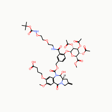 C=C1C[C@H]2C(O)N(C(=O)OCc3ccc(O[C@@H]4O[C@H](C(=O)OC)[C@@H](OC(C)=O)[C@H](OC(C)=O)[C@H]4OC(C)=O)c(C(=O)NCCOCCONC(=O)OC(C)(C)C)c3)c3cc(OCCCC(=O)O)c(OC)cc3C(=O)N2C1